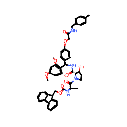 COc1ccc(C(NC(=O)[C@@H]2[C@@H](O)CCN2C(=O)C(C)NC(=O)OCC2c3ccccc3-c3ccccc32)c2ccc(OCC(=O)NCc3ccc(C)cc3)cc2)c(OC)c1